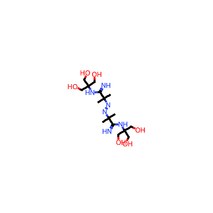 CC(C)(/N=N/C(C)(C)C(=N)NC(CO)(CO)CO)C(=N)NC(CO)(CO)CO